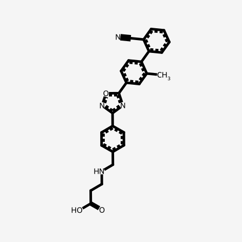 Cc1cc(-c2nc(-c3ccc(CNCCC(=O)O)cc3)no2)ccc1-c1ccccc1C#N